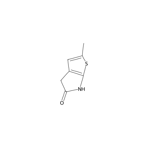 Cc1cc2c(s1)NC(=O)C2